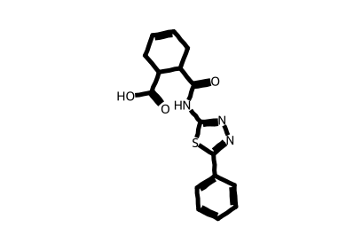 O=C(O)C1CC=CCC1C(=O)Nc1nnc(-c2ccccc2)s1